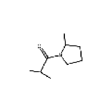 CC(C)C(=O)N1CCCC1C